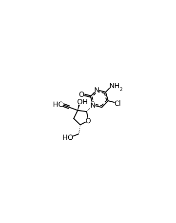 C#C[C@@]1(O)C[C@@H](CO)O[C@H]1n1cc(Cl)c(N)nc1=O